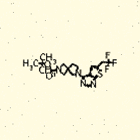 CC(C)(C)OC(=O)N1CC2(CCN(c3ncnc4sc(CC(F)(F)F)cc34)C2)C1